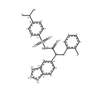 Cc1ccccc1CC(C(=O)NS(=O)(=O)c1ccc(C(C)C)cc1)c1ccc2nsnc2c1